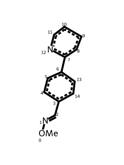 CO/N=C/c1ccc(-c2ccccn2)cc1